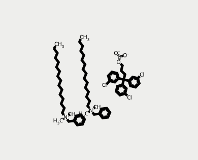 CCCCCCCCCCCCCCCC[N+](C)(C)Cc1ccccc1.CCCCCCCCCCCCCCCC[N+](C)(C)Cc1ccccc1.[O-]B([O-])OCCCC(c1cccc(Cl)c1)(c1cccc(Cl)c1)c1cccc(Cl)c1